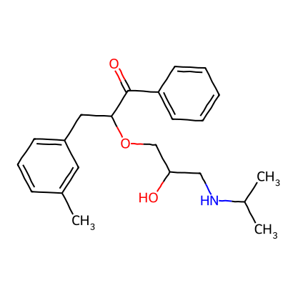 Cc1cccc(CC(OCC(O)CNC(C)C)C(=O)c2ccccc2)c1